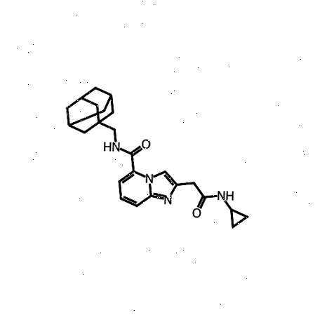 O=C(Cc1cn2c(C(=O)NCC34CC5CC(CC(C5)C3)C4)cccc2n1)NC1CC1